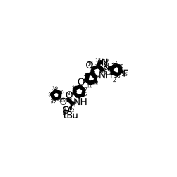 CC(C)(C)OC[C@H](NC1CCC(Oc2cccc(C(=O)c3cnn(-c4ccc(F)cc4)c3N)c2)CC1)C(=O)OC1CCCC1